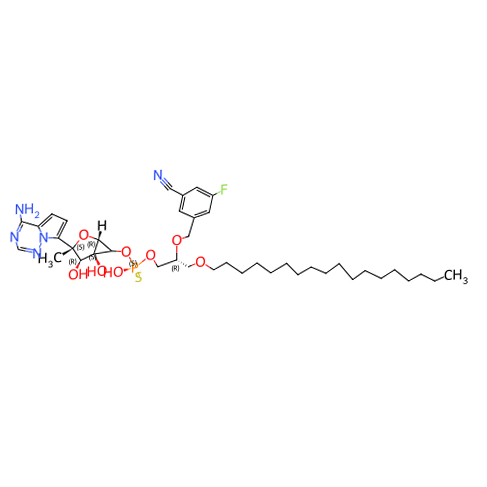 CCCCCCCCCCCCCCCCCCOC[C@H](CO[P@](O)(=S)OC1[C@H]2O[C@@](C)(c3ccc4c(N)ncnn34)[C@H](O)[C@@]12O)OCc1cc(F)cc(C#N)c1